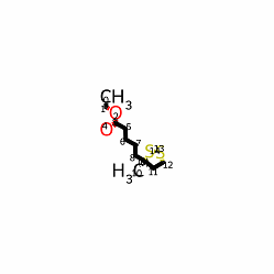 CCOC(=O)CCCC[C@]1(C)CCSS1